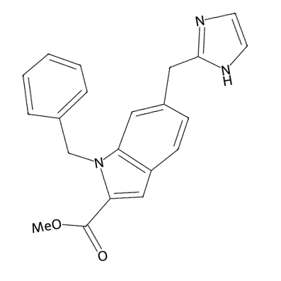 COC(=O)c1cc2ccc(Cc3ncc[nH]3)cc2n1Cc1ccccc1